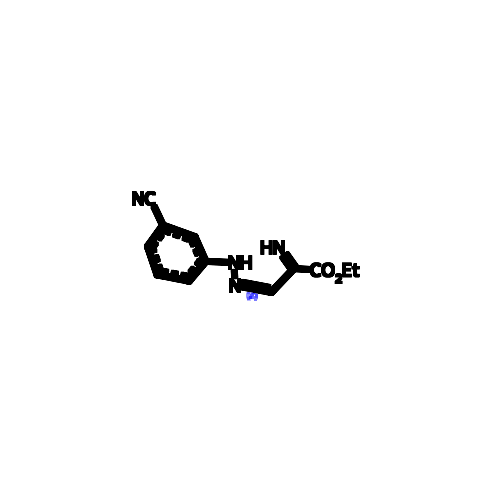 CCOC(=O)C(=N)/C=N\Nc1cccc(C#N)c1